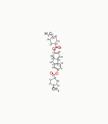 CC1CCC(C(=O)Oc2ccc3c(c2)Cc2cc(OC(=O)C4CCC(C)CC4)ccc2-3)CC1